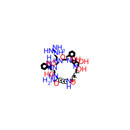 C[C@H]1CCC(=O)NCCC[C@@H](C(N)=O)NC(O)[C@H](Cc2c[nH]c3ccccc23)NC(O)[C@H](CCCNC(=N)N)NC(=O)[C@@H](Cc2ccccc2)NC(O)[C@@H]2CC(O)CN2C1O